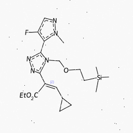 CCOC(=O)/C(=C\C1CC1)c1nnc(-c2c(F)cnn2C)n1COCC[Si](C)(C)C